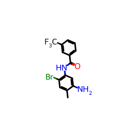 Cc1cc(Br)c(NC(=O)c2cccc(C(F)(F)F)c2)cc1N